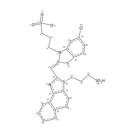 O=S(=O)([O-])CCCN1C(=Cc2nc3c4ccccc4ccc3[s+]2CCCS(=O)(=O)O)Sc2ccc(Cl)cc21